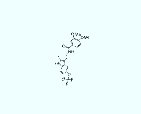 COc1ccc(C(=O)NCCc2c(C)[nH]c3ccc(OC(F)(F)Cl)cc23)cc1OC